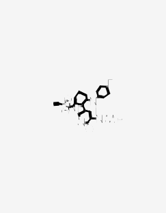 C#CS(=O)(=O)Nc1cccc(Nc2ccc(F)cc2)c1-c1cc(NC)c(=O)n(C)c1